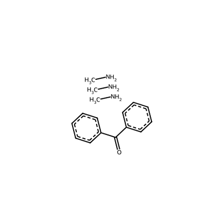 CN.CN.CN.O=C(c1ccccc1)c1ccccc1